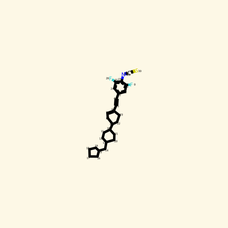 Fc1cc(C#CC2=CCC(C3CCC(CC4CCCC4)CC3)CC2)cc(F)c1N=C=S